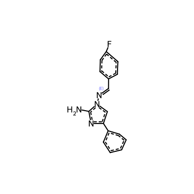 Nc1nc(-c2ccccc2)cn1/N=C/c1ccc(F)cc1